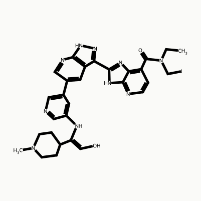 CCN(CI)C(=O)c1ccnc2[nH]c(-c3n[nH]c4ncc(-c5cncc(N/C(=C\O)C6CCN(C)CC6)c5)cc34)nc12